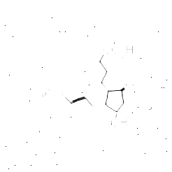 CCCCCCCC/C=C/C[C@H]1[C@H](O)CC(=O)[C@@H]1CCCC(=O)O